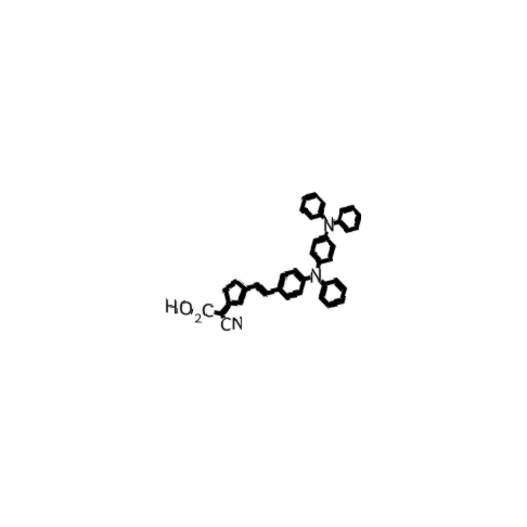 N#C/C(C(=O)O)=C1C=C(/C=C/c2ccc(N(c3ccccc3)c3ccc(N(c4ccccc4)c4ccccc4)cc3)cc2)CC\1